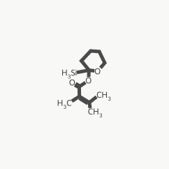 CC(C)=C(C)C(=O)OC1([SiH3])CCCCO1